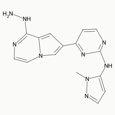 Cn1nccc1Nc1nccc(-c2cc3c(NN)nccn3c2)n1